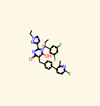 CC[C@@H](c1cc(F)cc(F)c1)n1c(-c2ccn(CC)n2)nc(=O)c(Cc2ccc(-c3ccc(F)nc3C)cc2)c1O